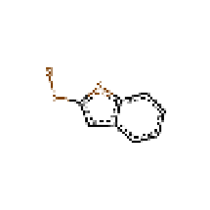 SSc1cc2ccccc2s1